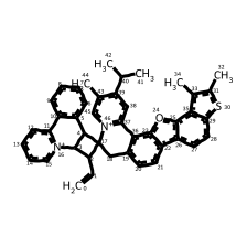 C=CC1C2C(c3ccccc3-c3cccc[n+]32)C12Cc1ccc3c(oc4c3ccc3sc(C)c(C)c34)c1-c1cc(C(C)C)c(C)c[n+]12